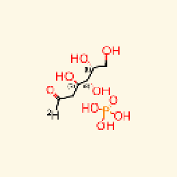 O=P(O)(O)O.[2H]C(=O)C[C@@H](O)[C@@H](O)[C@H](O)CO